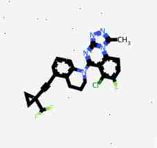 Cc1nnc2nc(N3CCCc4c(C#CC5(C(F)F)CC5)cccc43)c3c(Cl)c(F)ccc3n12